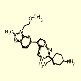 COCCn1c(C)nc2ccc(-c3ccn4nc(C5(N)CCC(N)CC5)ncc34)nc21